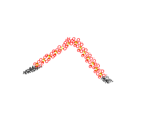 O.O.O=S(=O)([O-])[O-].O=S(=O)([O-])[O-].O=S(=O)([O-])[O-].O=S(=O)([O-])[O-].O=S(=O)([O-])[O-].O=S(=O)([O-])[O-].O=S(=O)([O-])[O-].O=S(=O)([O-])[O-].O=S(=O)([O-])[O-].O=S(=O)([O-])[O-].O=S(=O)([O-])[O-].O=S(=O)([O-])[O-].O=S(=O)([O-])[O-].[Al+3].[Al+3].[Cr+3].[Cr+3].[Fe+3].[Fe+3].[Mg+2].[Mg+2].[Ni+2].[Ni+2]